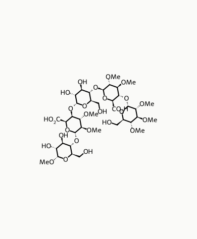 CO[C@H]1O[C@H](CO)[C@@H](O[C@@H]2O[C@@H](C(=O)O)[C@@H](O[C@H]3O[C@H](CO)[C@@H](O[C@@H]4O[C@H](C(=O)O)[C@@H](O[C@H]5O[C@H](CO)[C@@H](OC)[C@H](OC)[C@H]5OC)[C@H](OC)[C@H]4OC)[C@H](O)[C@H]3O)[C@H](OC)[C@H]2OC)[C@H](O)[C@H]1O